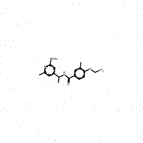 CC(=O)Nc1cc(C(C)NC(=O)c2ccc(OCC(F)(F)F)c(C)c2)cc(C)n1